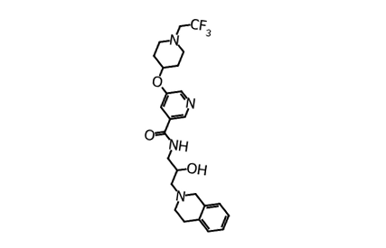 O=C(NCC(O)CN1CCc2ccccc2C1)c1cncc(OC2CCN(CC(F)(F)F)CC2)c1